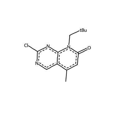 Cc1cc(=O)n(CC(C)(C)C)c2nc(Cl)ncc12